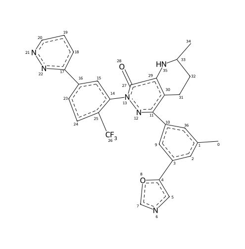 Cc1cc(-c2cnco2)cc(-c2nn(-c3cc(-c4cccnn4)ccc3C(F)(F)F)c(=O)c3c2CCC(C)N3)c1